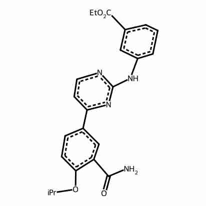 CCOC(=O)c1cccc(Nc2nccc(-c3ccc(OC(C)C)c(C(N)=O)c3)n2)c1